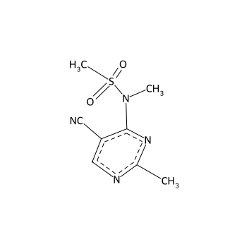 Cc1ncc(C#N)c(N(C)S(C)(=O)=O)n1